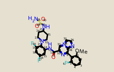 COc1cccc(F)c1-c1nc(C(=O)Nc2cc(F)cc(F)c2N2CCC(NS(N)(=O)=O)CC2)cn2ccnc12